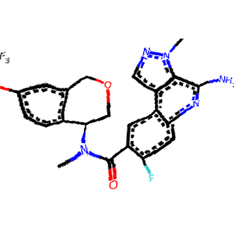 CN(C(=O)c1cc2c(cc1F)nc(N)c1c2cnn1C)[C@@H]1COCc2cc(OC(F)(F)F)ccc21